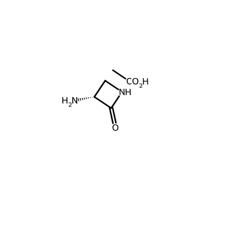 CC(=O)O.N[C@@H]1CNC1=O